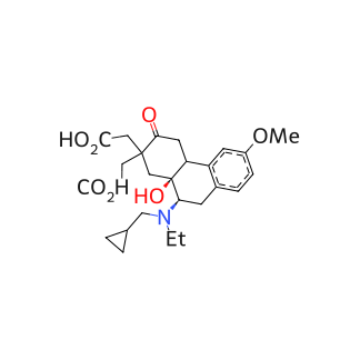 CCN(CC1CC1)[C@@H]1Cc2ccc(OC)cc2C2CC(=O)C(CC(=O)O)(CC(=O)O)C[C@]21O